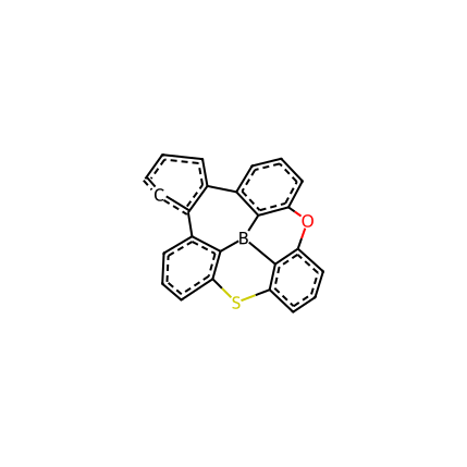 c1cc2c3c(c1)Sc1cccc4c1B3c1c(cccc1-c1ccccc1-4)O2